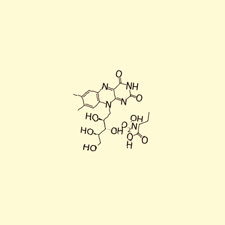 CCCC(=O)O.Cc1cc2nc3c(=O)[nH]c(=O)nc-3n(C[C@H](O)[C@H](O)[C@H](O)CO)c2cc1C.O=[N+]([O-])O